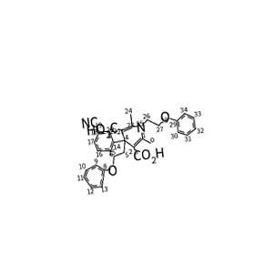 CC1=C(C(=O)O)C(CCOc2ccccc2)(c2cccc(C#N)c2)C(C(=O)O)=C(C)N1CCOc1ccccc1